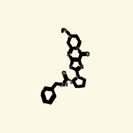 CC(C)N1CCn2c(nc3sc(N4CCC[C@@H]4C(=O)NCc4ccccc4)nc3c2=O)C1